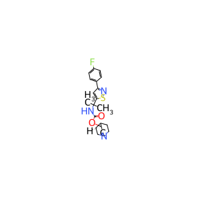 CC(C)(NC(=O)O[C@@H]1CN2CCC1CC2)c1cc(-c2ccc(F)cc2)ns1